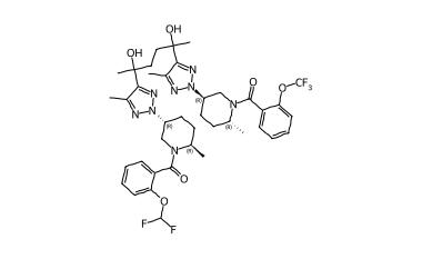 Cc1nn([C@@H]2CC[C@@H](C)N(C(=O)c3ccccc3OC(F)F)C2)nc1C(C)(O)CCC(C)(O)c1nn([C@@H]2CC[C@@H](C)N(C(=O)c3ccccc3OC(F)(F)F)C2)nc1C